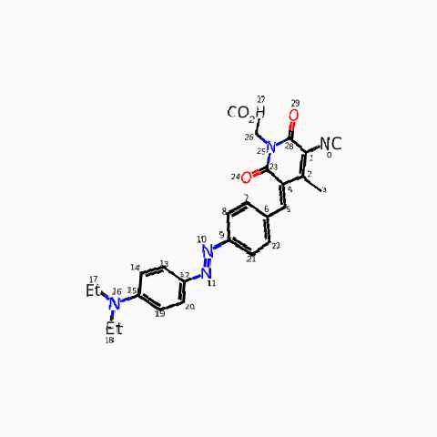 [C-]#[N+]C1=C(C)/C(=C/c2ccc(/N=N/c3ccc(N(CC)CC)cc3)cc2)C(=O)N(CC(=O)O)C1=O